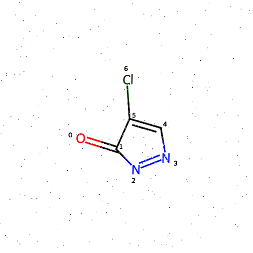 O=C1N=NC=C1Cl